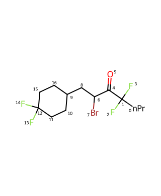 CCCC(F)(F)C(=O)C(Br)CC1CCC(F)(F)CC1